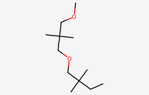 CCC(C)(C)COCC(C)(C)COC